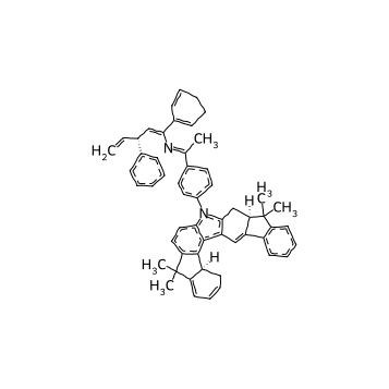 C=C[C@H](/C=C(\N=C(/C)c1ccc(-n2c3c(c4c5c(ccc42)C(C)(C)C2=CC=CC[C@@H]25)C=C2c4ccccc4C(C)(C)[C@@H]2C3)cc1)C1=CCCC=C1)c1ccccc1